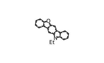 CCn1c2ccccc2c2cc3oc4ccccc4c3cc21